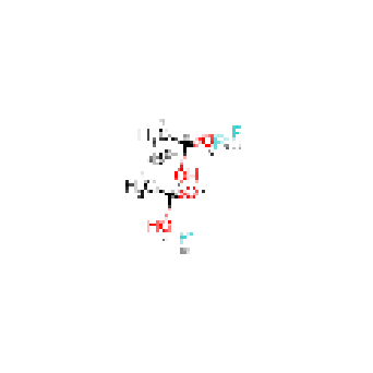 CC(=O)O.CC(=O)O.[B+3].[F-].[F-].[F-]